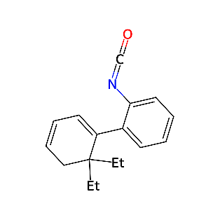 CCC1(CC)CC=CC=C1c1ccccc1N=C=O